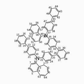 C1=CCc2c(cccc2N(c2ccc(-c3ccccc3)cc2)c2ccc(-c3ccccc3-c3ccc(N(c4ccc(-c5ccccc5)cc4)c4cccc5ccccc45)cc3)cc2)C=C1